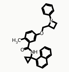 Cc1ccc(OCC2CCN2c2ccccc2)cc1C(=O)NC1(c2cccc3ccccc23)CC1